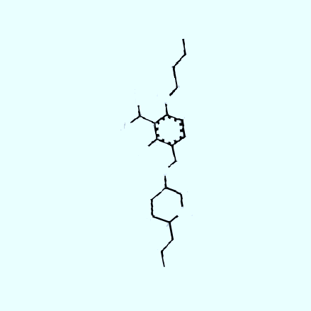 CCCCOc1ccc(COC2CCC(CCC)OC2)c(F)c1C(F)F